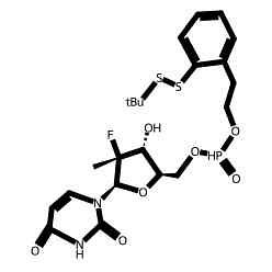 CC(C)(C)SSc1ccccc1CCO[PH](=O)OC[C@H]1O[C@@H](n2ccc(=O)[nH]c2=O)[C@](C)(F)[C@@H]1O